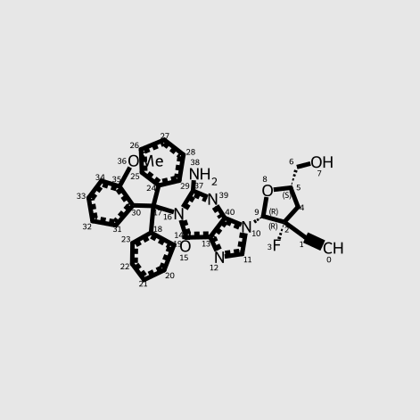 C#C[C@]1(F)C[C@@H](CO)O[C@H]1n1cnc2c(=O)n(C(c3ccccc3)(c3ccccc3)c3ccccc3OC)c(N)nc21